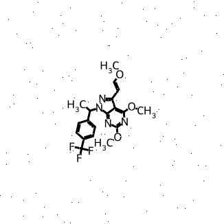 COC=Cc1nn(C(C)c2ccc(C(F)(F)F)cc2)c2nc(OC)nc(OC)c12